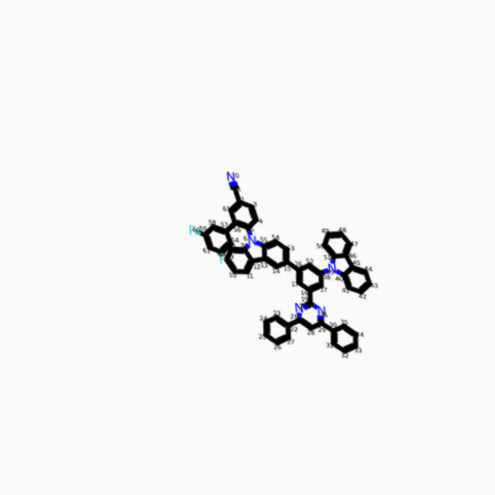 N#Cc1ccc(-n2c3ccccc3c3cc(-c4cc(-c5nc(-c6ccccc6)cc(-c6ccccc6)n5)cc(-n5c6ccccc6c6ccccc65)c4)ccc32)c(-c2cc(F)cc(F)c2)c1